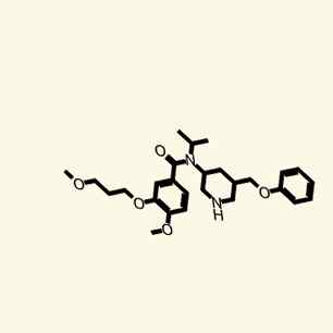 COCCCOc1cc(C(=O)N(C(C)C)C2CNCC(COc3ccccc3)C2)ccc1OC